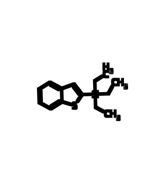 CC[Si](CC)(CC)c1cc2ccccc2s1